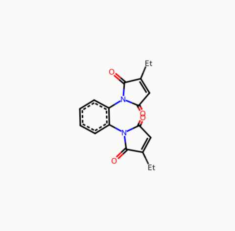 CCC1=CC(=O)N(c2ccccc2N2C(=O)C=C(CC)C2=O)C1=O